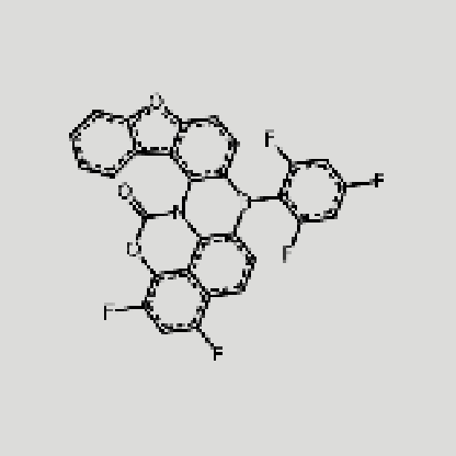 O=C1Oc2c(F)cc(F)c3ccc4c(c23)N1c1c(ccc2oc3ccccc3c12)B4c1c(F)cc(F)cc1F